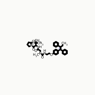 CC/C(=C(\c1ccccc1)c1ccc(OCCNC(=O)N(C)CC(=O)NC(C(=O)N2CCCC2C)C(C)(C)C)cc1)c1ccccc1